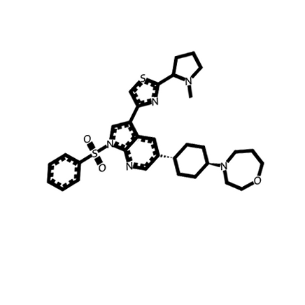 CN1CCCC1c1nc(-c2cn(S(=O)(=O)c3ccccc3)c3ncc([C@H]4CC[C@H](N5CCCOCC5)CC4)cc23)cs1